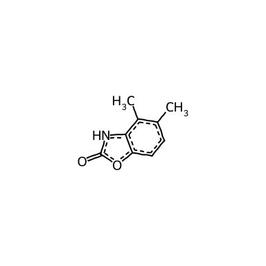 Cc1ccc2oc(=O)[nH]c2c1C